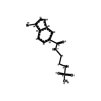 CS(=O)(=O)NCCNC(=O)c1ccc2c(Br)cnn2c1